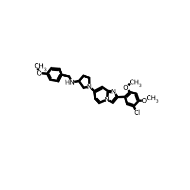 COc1ccc(CNC2CCN(c3ccn4cc(-c5cc(Cl)c(OC)cc5OC)nc4c3)C2)cc1